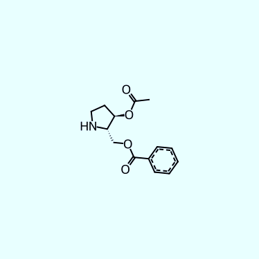 CC(=O)O[C@@H]1CCN[C@H]1COC(=O)c1ccccc1